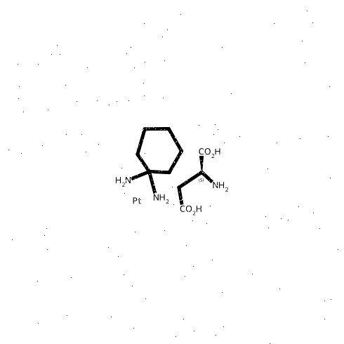 NC1(N)CCCCC1.N[C@@H](CC(=O)O)C(=O)O.[Pt]